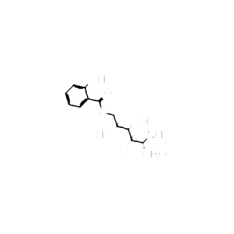 N[C@@H](C=O)[C@@H](O)[C@H](O)[C@H](O)COC(=O)c1ccccc1O